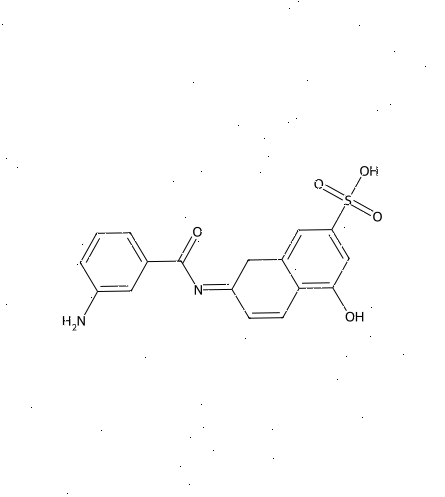 Nc1cccc(C(=O)N=C2C=Cc3c(O)cc(S(=O)(=O)O)cc3C2)c1